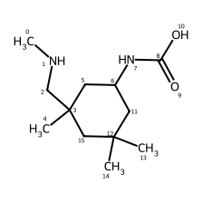 CNCC1(C)CC(NC(=O)O)CC(C)(C)C1